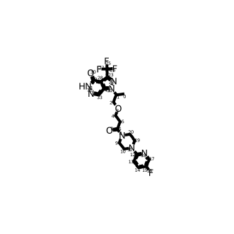 CC(COCCC(=O)N1CCN(c2ccc(F)cn2)CC1)n1nc(C(F)(F)F)c2c(=O)[nH]ncc21